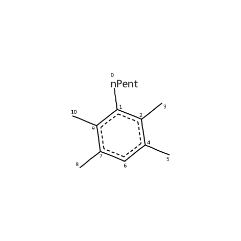 [CH2]CCCCc1c(C)c(C)cc(C)c1C